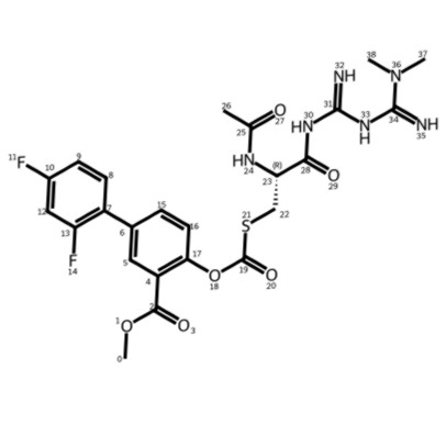 COC(=O)c1cc(-c2ccc(F)cc2F)ccc1OC(=O)SC[C@H](NC(C)=O)C(=O)NC(=N)NC(=N)N(C)C